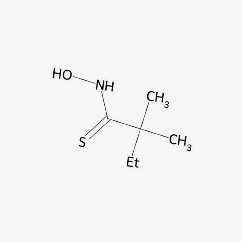 CCC(C)(C)C(=S)NO